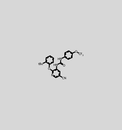 CC(C)(C)c1ccccc1Oc1ncc(C#N)cc1NC(=O)Nc1ccc(OC(F)(F)F)cc1